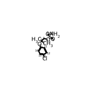 CC(C)(COS(N)(=O)=O)Oc1ccc(Cl)cc1